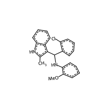 COc1ccccc1NC(c1ccccc1Cl)c1c(C)[nH]c2ccccc12